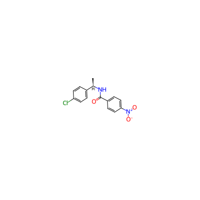 C[C@@H](NC(=O)c1ccc([N+](=O)[O-])cc1)c1ccc(Cl)cc1